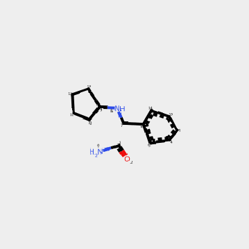 NC=O.c1ccc(CNC2CCCC2)cc1